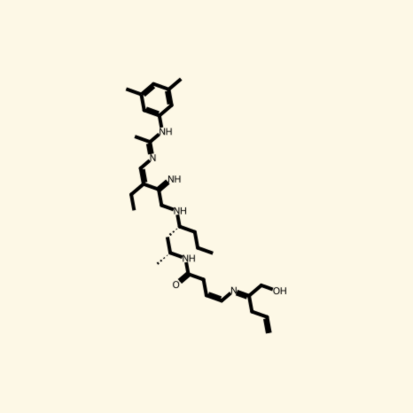 C=CC/C(CO)=N\C=C/CC(=O)N[C@H](C)C[C@@H](CCC)NCC(=N)/C(=C\N=C(/C)Nc1cc(C)cc(C)c1)CC